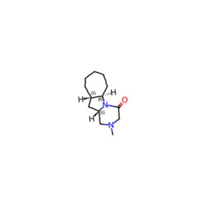 CN1CC(=O)N2[C@@H](C[C@@H]3CCCCC[C@H]32)C1